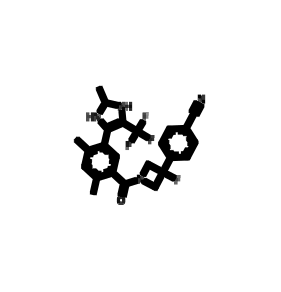 Cc1cc(C)c(C2=C(C(F)(F)F)NC(C)N2)cc1C(=O)N1CC(F)(c2ccc(C#N)cc2)C1